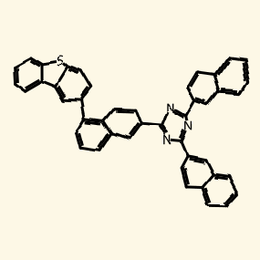 c1ccc2cc(-c3nc(-c4ccc5ccccc5c4)nc(-c4ccc5c(-c6ccc7sc8ccccc8c7c6)cccc5c4)n3)ccc2c1